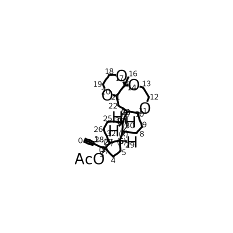 C#C[C@]1(OC(C)=O)CC[C@H]2[C@@H]3CCC4OCCOC5(C)OCCOC5C[C@@H]4[C@H]3CC[C@@]21C